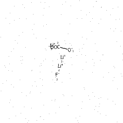 O=C([O-])[O-].[F-].[Li+].[Li+].[Li+]